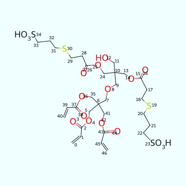 C=CC(=O)OCC(COCC(CO)(COC(=O)CCSCCCS(=O)(=O)O)COC(=O)CCSCCCS(=O)(=O)O)(COC(=O)C=C)COC(=O)C=C